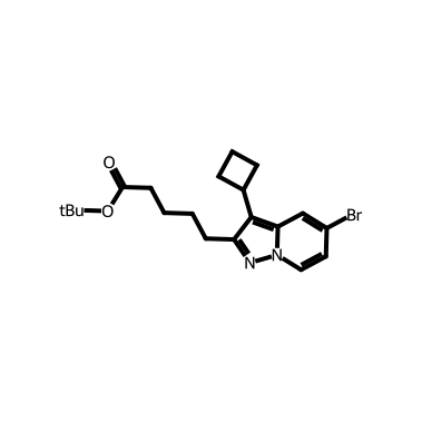 CC(C)(C)OC(=O)CCCCc1nn2ccc(Br)cc2c1C1CCC1